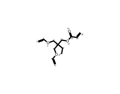 C=COCC(CC)(COC=C)COC(=O)C=C